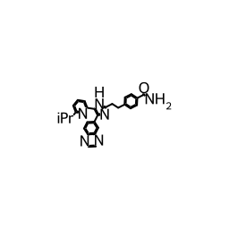 CC(C)c1cccc(-c2[nH]c(CCc3ccc(C(N)=O)cc3)nc2-c2ccc3nccnc3c2)n1